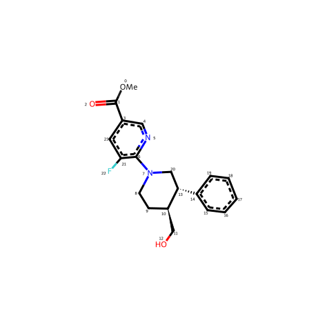 COC(=O)c1cnc(N2CC[C@H](CO)[C@@H](c3ccccc3)C2)c(F)c1